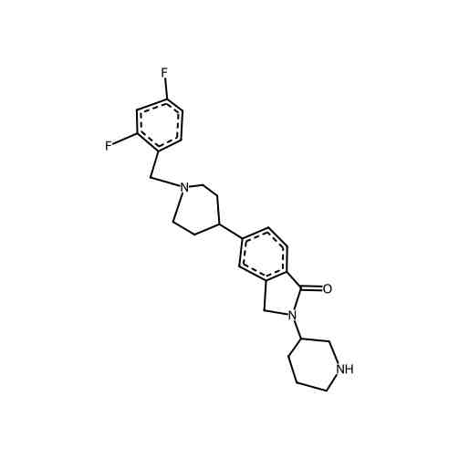 O=C1c2ccc(C3CCN(Cc4ccc(F)cc4F)CC3)cc2CN1C1CCCNC1